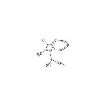 Cc1c(C)n(C(C)C#N)c2ccccc12